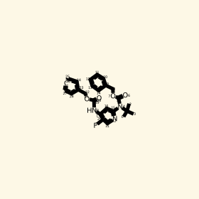 CC(C)(C)N(C(=O)OCc1ccccc1)c1cc(NC(=O)OCc2ccccc2)c(F)cn1